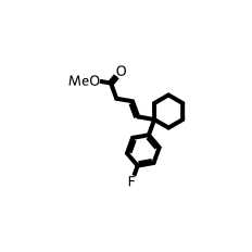 COC(=O)CC=CC1(c2ccc(F)cc2)CCCCC1